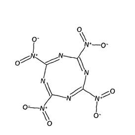 O=[N+]([O-])C1=NC([N+](=O)[O-])=NC([N+](=O)[O-])=NC([N+](=O)[O-])=N1